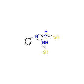 SCCNC1CN(Cc2ccccc2)CC1NCCS